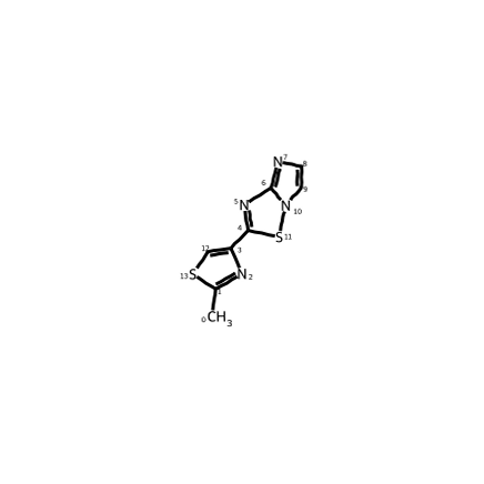 Cc1nc(-c2nc3nccn3s2)cs1